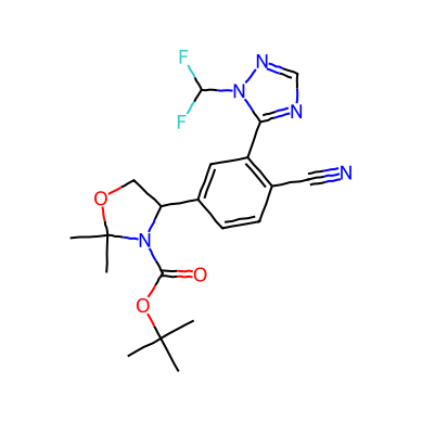 CC(C)(C)OC(=O)N1C(c2ccc(C#N)c(-c3ncnn3C(F)F)c2)COC1(C)C